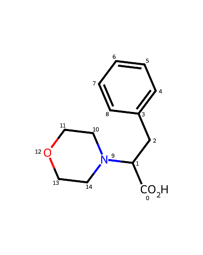 O=C(O)C(Cc1ccccc1)N1CCOCC1